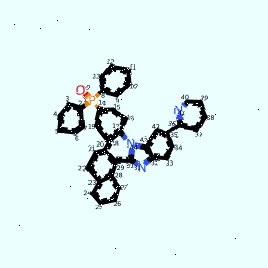 O=P(c1ccccc1)(c1ccccc1)c1ccc2c(c1)c1ccc3ccccc3c1c1nc3ccc(-c4ccccn4)cc3n21